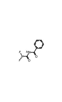 O=C(NC(=O)N(F)F)c1ccccc1